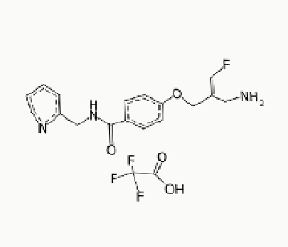 NCC(=CF)COc1ccc(C(=O)NCc2ccccn2)cc1.O=C(O)C(F)(F)F